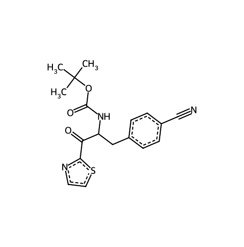 CC(C)(C)OC(=O)NC(Cc1ccc(C#N)cc1)C(=O)c1nccs1